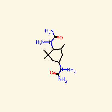 CC1CC(N(N)C(N)=O)CC(C)(C)C1N(N)C(N)=O